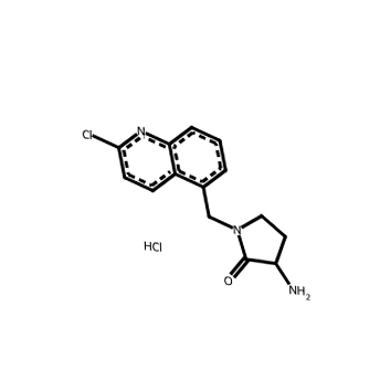 Cl.NC1CCN(Cc2cccc3nc(Cl)ccc23)C1=O